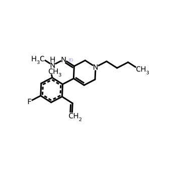 C=Cc1cc(F)cc(C)c1C1=CCN(CCCC)C/C1=N/NC